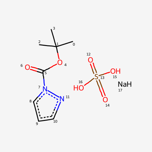 CC(C)(C)OC(=O)n1cccn1.O=S(=O)(O)O.[NaH]